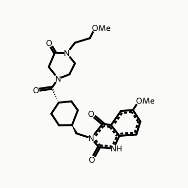 COCCN1CCN(C(=O)[C@H]2CC[C@H](Cn3c(=O)[nH]c4ccc(OC)cc4c3=O)CC2)CC1=O